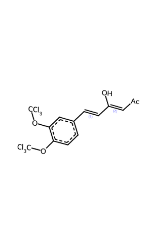 CC(=O)/C=C(O)/C=C/c1ccc(OC(Cl)(Cl)Cl)c(OC(Cl)(Cl)Cl)c1